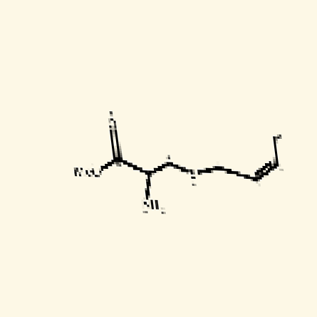 C/C=C\CSCC(N)C(=O)OC